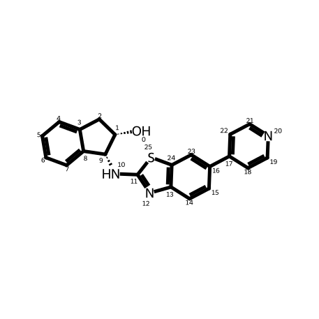 O[C@H]1Cc2ccccc2[C@H]1Nc1nc2ccc(-c3ccncc3)cc2s1